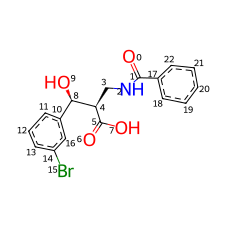 O=C(NC[C@@H](C(=O)O)[C@H](O)c1cccc(Br)c1)c1ccccc1